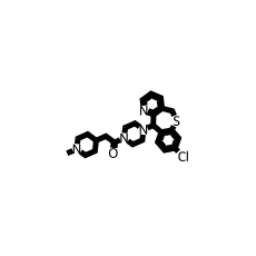 CN1CCC(CC(=O)N2CCN(C3c4ccc(Cl)cc4SCc4cccnc43)CC2)CC1